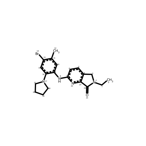 CCN1Cc2ccc(Nc3cc(C)c(Br)cc3N3CCCC3)nc2C1=O